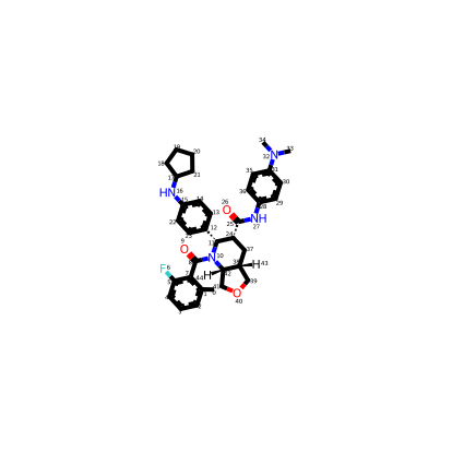 Cc1cccc(F)c1C(=O)N1[C@H](c2ccc(NC3CCCC3)cc2)[C@H](C(=O)Nc2ccc(N(C)C)cc2)C[C@@H]2COC[C@@H]21